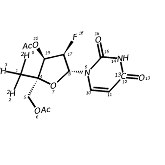 [2H]C([2H])([2H])[C@]1(COC(C)=O)O[C@@H](n2cc[13c](=O)[nH]c2=O)[C@H](F)[C@@H]1OC(C)=O